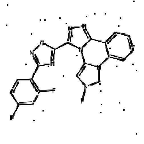 Fc1ccc(-c2noc(-c3nnc4n3C3=CN(F)CN3c3ccccc3-4)n2)c(F)c1